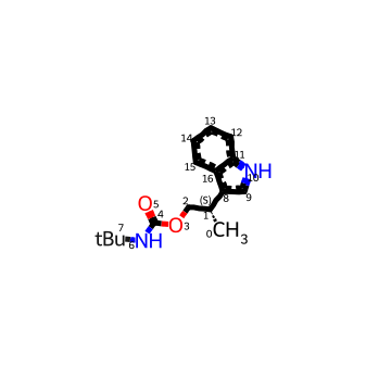 C[C@H](COC(=O)NC(C)(C)C)c1c[nH]c2ccccc12